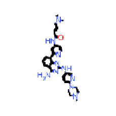 CN(C)C/C=C/C(=O)Nc1ccnc(-c2cccc3c(N)nc(Nc4ccc(N5CCN(C)CC5)nc4)nc23)c1